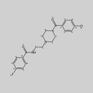 O=C(NCCN1CCC(C(=O)c2ccc(Cl)cc2)CC1)c1ccc(F)cc1